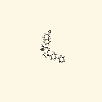 O=C1[C@@H](NS(=O)(=O)c2ccc3cc(Cl)ccc3c2)CCN1c1ccc(-c2ccncc2)cc1F